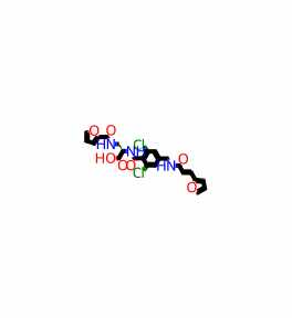 O=C(/C=C/c1ccco1)NCc1cc(Cl)c(C(=O)N[C@@H](CNC(=O)c2ccco2)C(=O)O)c(Cl)c1